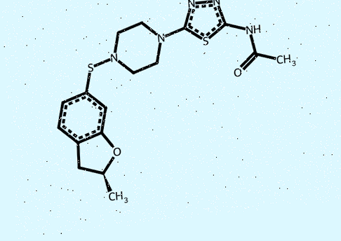 CC(=O)Nc1nnc(N2CCN(Sc3ccc4c(c3)O[C@@H](C)C4)CC2)s1